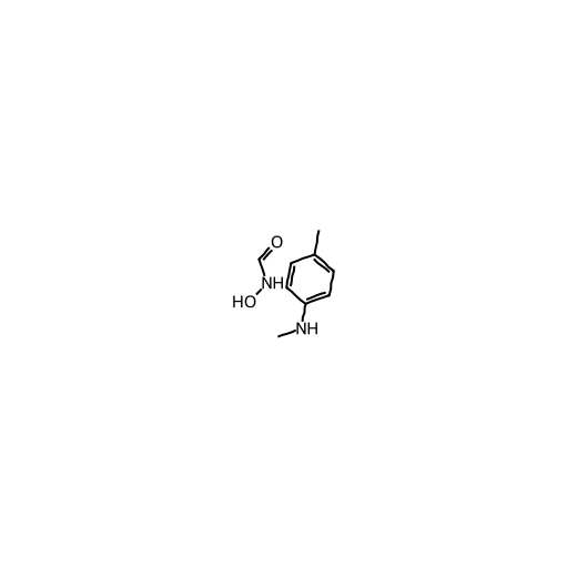 CNc1ccc(C)cc1.O=CNO